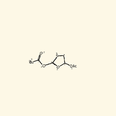 CCC(C)C(=O)OC1OC(OC(C)=O)CS1